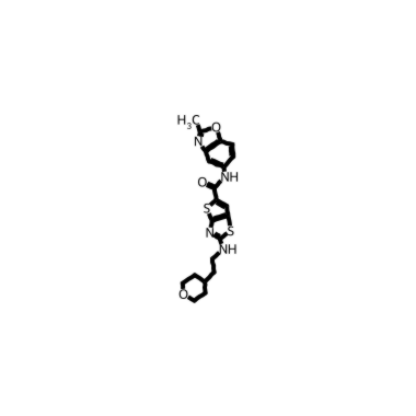 Cc1nc2cc(NC(=O)c3cc4sc(NCCC5CCOCC5)nc4s3)ccc2o1